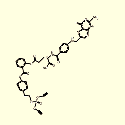 C#COP(=O)(OC#C)OCCc1ccc(OC(=O)c2ccccc2OC(=O)CC[C@H](NC(=O)c2ccc(NCc3cnc4[nH]c(N)nc(=O)c4n3)cc2)C(=O)O)cc1